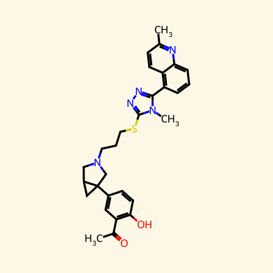 CC(=O)c1cc(C23CC2CN(CCCSc2nnc(-c4cccc5nc(C)ccc45)n2C)C3)ccc1O